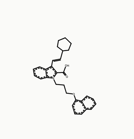 O=C(O)c1c(C=CC2CCCCC2)c2ccccc2n1CCCOc1cccc2ccccc12